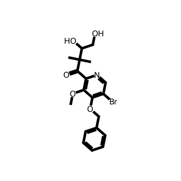 COc1c(C(=O)C(C)(C)C(O)CO)ncc(Br)c1OCc1ccccc1